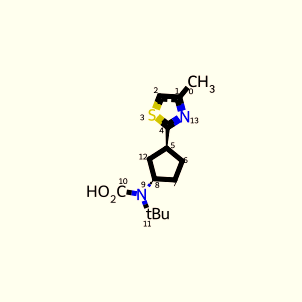 Cc1csc([C@H]2CC[C@H](N(C(=O)O)C(C)(C)C)C2)n1